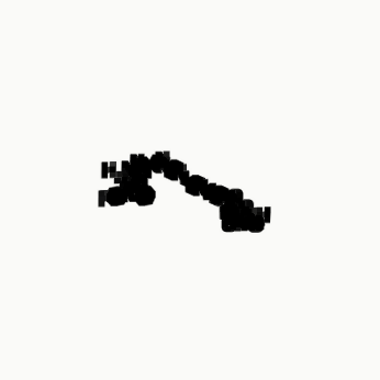 COc1ccc(C(=O)N2CCC3(CC2)CC(N2CCC(CCN4CCC(n5cc(-c6cnc(N)c(C(=O)O[C@@H](C(=O)Nc7ccc(F)cc7)c7ccccc7)n6)cn5)CC4)CC2)C3)cc1N1CCC(=O)NC1=O